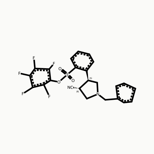 N#C[C@H]1CN(Cc2ccccc2)C[C@@H]1c1ccccc1S(=O)(=O)Oc1c(F)c(F)c(F)c(F)c1F